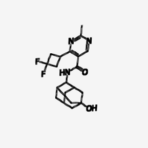 Cc1ncc(C(=O)NC2C3CC4CC2CC(O)(C4)C3)c(C2CC(F)(F)C2)n1